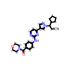 N#CCC(C1CCCC1)n1cc(-c2ccnc(Nc3ccc(C(=O)N4CCOCC4)cc3)n2)cn1